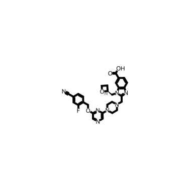 N#Cc1ccc(COc2cncc(N3CCN(Cc4nc5ccc(C(=O)O)cc5n4C[C@@H]4CCO4)CC3)n2)c(F)c1